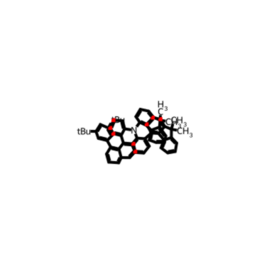 CC(C)(C)c1cc(-c2cccc3cccc(-c4ccccc4N(c4ccccc4-c4cccc5c4-c4ccccc4C5(C)C)c4cccc5c4-c4ccccc4C5(C)C)c23)cc(C(C)(C)C)c1